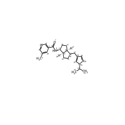 Cc1cncc(C(=O)N[C@H]2CC[C@@H]3[C@H]2CCN3Cc2cnn(C(C)C)c2)c1